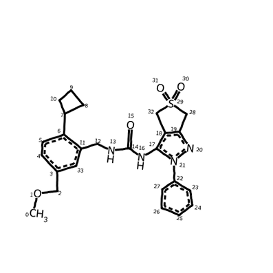 COCc1ccc(C2CCC2)c(CNC(=O)Nc2c3c(nn2-c2ccccc2)CS(=O)(=O)C3)c1